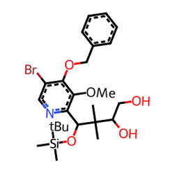 COc1c(C(O[Si](C)(C)C(C)(C)C)C(C)(C)C(O)CO)ncc(Br)c1OCc1ccccc1